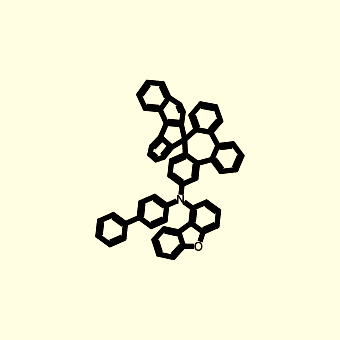 c1ccc(-c2ccc(N(c3ccc4c(c3)-c3ccccc3-c3ccccc3C43c4ccccc4-c4c3ccc3ccccc43)c3cccc4oc5ccccc5c34)cc2)cc1